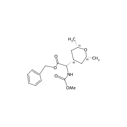 COC(=O)NC(C(=O)OCc1ccccc1)[C@H]1C[C@@H](C)O[C@@H](C)C1